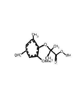 COc1cc(C=O)cc(C)c1OC(C)(C)C(=O)OC(C)(C)C